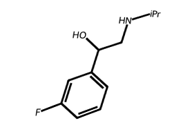 CC(C)NCC(O)c1cccc(F)c1